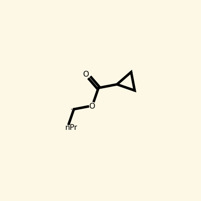 CCC[CH]OC(=O)C1CC1